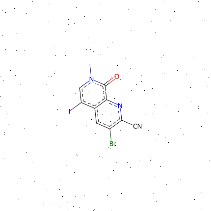 Cn1cc(I)c2cc(Br)c(C#N)nc2c1=O